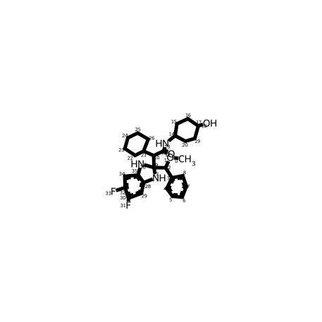 COC(c1ccccc1)C1(C(C(=O)NC2CCC(O)CC2)C2CCCCC2)Nc2cc(F)c(F)cc2N1